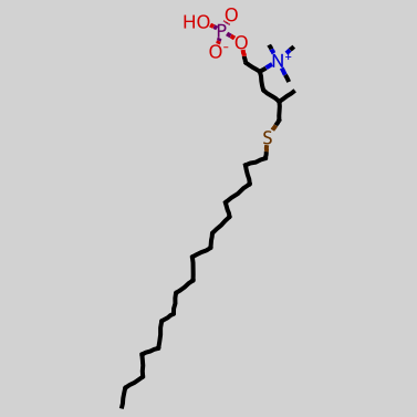 CCCCCCCCCCCCCCCCCSCC(C)CC(COP(=O)([O-])O)[N+](C)(C)C